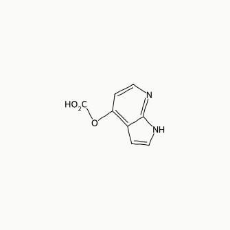 O=C(O)Oc1ccnc2[nH]ccc12